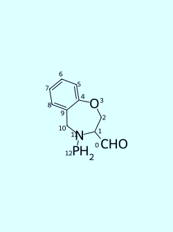 O=CC1COc2ccccc2CN1P